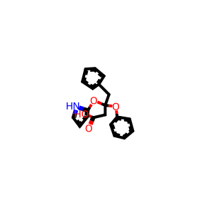 O=C(O)CC(Cc1ccccc1)(Oc1ccccc1)Oc1ccc[nH]1